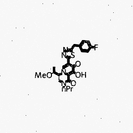 CCCN1C[C@H]([C@@H](C)OC)n2cc(-c3nnc(Cc4ccc(F)cc4)s3)c(=O)c(O)c2C1=O